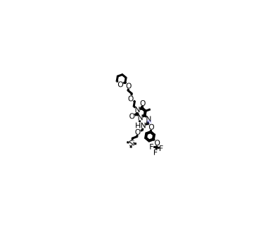 Cc1c(/N=C(\NCOCC[Si](C)(C)C)Oc2cccc(OC(F)(F)F)c2)n(C)c(=O)n(CCOCCOC2CCCCO2)c1=O